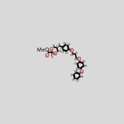 COC(=O)[C@]1(C)OC[C@@H](Cc2ccc(OCCCOc3ccc(Oc4ccccc4)cc3)cc2)CO1